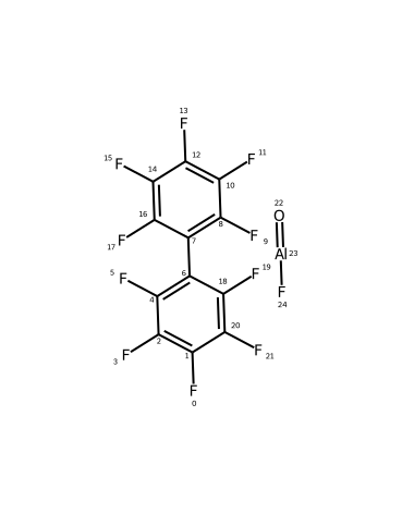 Fc1c(F)c(F)c(-c2c(F)c(F)c(F)c(F)c2F)c(F)c1F.[O]=[Al][F]